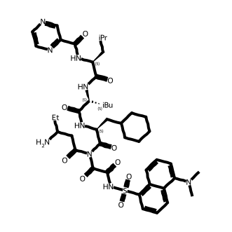 CCC(N)CC(=O)N(C(=O)C(=O)NS(=O)(=O)c1cccc2c(N(C)C)cccc12)C(=O)[C@H](CC1CCCCC1)NC(=O)[C@@H](NC(=O)[C@H](CC(C)C)NC(=O)c1cnccn1)[C@@H](C)CC